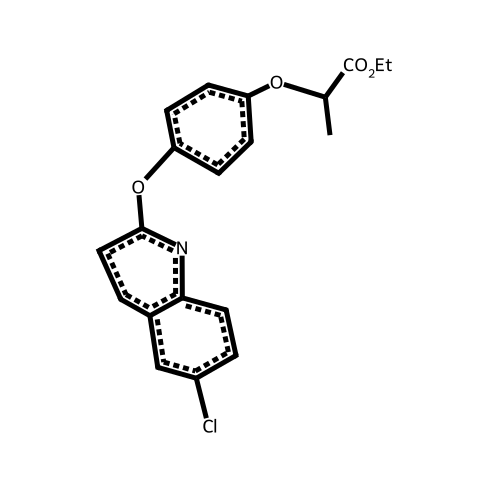 CCOC(=O)C(C)Oc1ccc(Oc2ccc3cc(Cl)ccc3n2)cc1